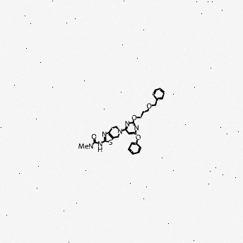 CNC(=O)Nc1nc2c(s1)CN(c1cc(Oc3ccccc3)nc(OCCCOCc3ccccc3)n1)CC2